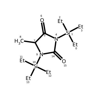 CC[Si](CC)(CC)N1C(=O)C(C)N([Si](CC)(CC)CC)C1=O